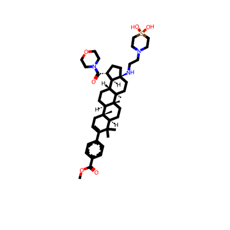 COC(=O)c1ccc(C2=CC[C@]3(C)[C@H]4CC[C@@H]5[C@H]6[C@H](C(=O)N7CCOCC7)CC[C@]6(NCCN6CCS(O)(O)CC6)CC[C@@]5(C)[C@]4(C)CC[C@H]3C2(C)C)cc1